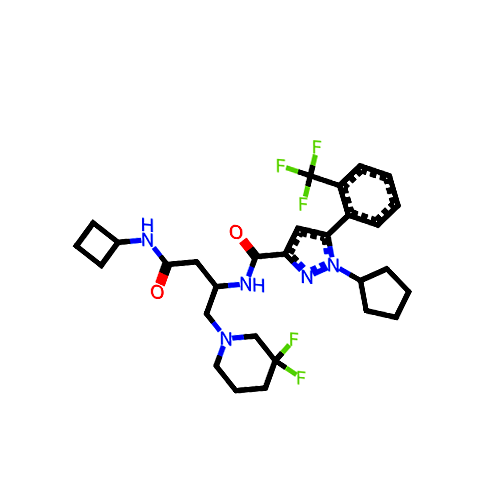 O=C(CC(CN1CCCC(F)(F)C1)NC(=O)c1cc(-c2ccccc2C(F)(F)F)n(C2CCCC2)n1)NC1CCC1